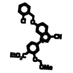 CCOC(=O)c1ccc(-n2cc(C#N)c3ccc(OCc4ccccc4Cl)cc32)cc1OCOC